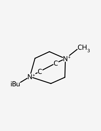 CCC(C)[N+]12CC[N+](C)(CC1)CC2